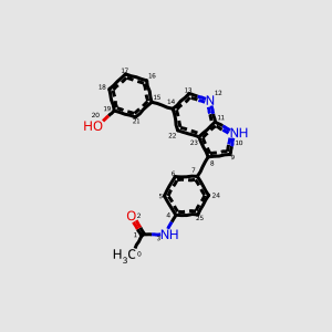 CC(=O)Nc1ccc(-c2c[nH]c3ncc(-c4cccc(O)c4)cc23)cc1